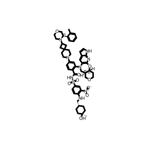 Cc1ccccc1[C@@H]1COCCN1C1CC2(CCN(c3ccc(C(=O)NS(=O)(=O)c4ccc(NC[C@H]5CC[C@](C)(O)CC5)c([N+](=O)[O-])c4)c(N4C[C@@H]5COCC[C@H]5Oc5nc6[nH]ccc6cc54)c3)CC2)C1